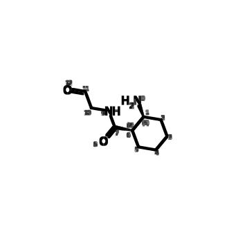 N[C@H]1CCCC[C@H]1C(=O)NCC=O